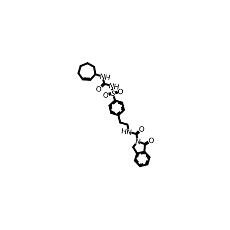 O=C(NC1C=CCCCC1)NS(=O)(=O)c1ccc(CCNC(=O)N2Cc3ccccc3C2=O)cc1